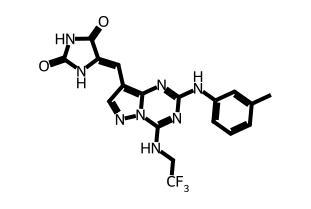 Cc1cccc(Nc2nc(NCC(F)(F)F)n3ncc(/C=C4\NC(=O)NC4=O)c3n2)c1